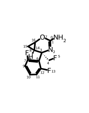 NC1=N[C@@](CF)(c2c(F)cccc2F)[C@@H]2CC2O1